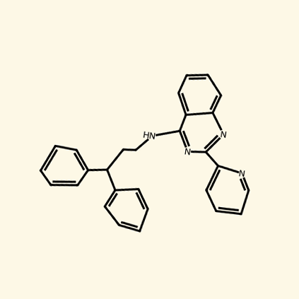 c1ccc(C(CCNc2nc(-c3ccccn3)nc3ccccc23)c2ccccc2)cc1